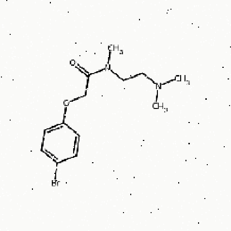 CN(C)CCN(C)C(=O)COc1ccc(Br)cc1